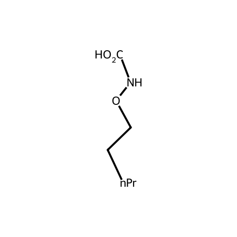 CCCCCONC(=O)O